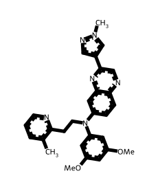 COc1cc(OC)cc(N(CCc2ncccc2C)c2ccc3ncc(-c4cnn(C)c4)nc3c2)c1